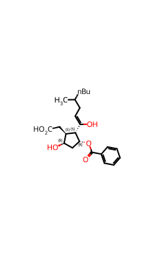 CCCCC(C)CC=C(O)[C@H]1[C@H](CC(=O)O)[C@H](O)C[C@H]1OC(=O)c1ccccc1